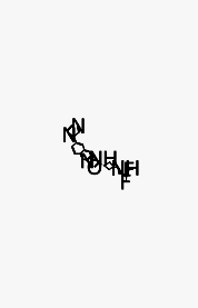 O=C(Nc1cc2cc(-c3cnccn3)ccc2cn1)[C@H]1C[C@H](NCC(F)F)C1